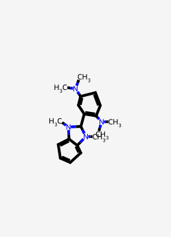 CN(C)c1ccc(N(C)C)c(C2N(C)c3ccccc3N2C)c1